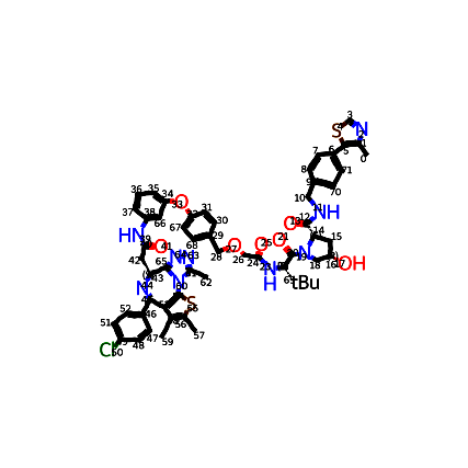 Cc1ncsc1-c1ccc(CNC(=O)[C@@H]2C[C@@H](O)CN2C(=O)[C@@H](NC(=O)COCc2ccc(Oc3cccc(NC(=O)C[C@@H]4N=C(c5ccc(Cl)cc5)c5c(sc(C)c5C)-n5c(C)nnc54)c3)cc2)C(C)(C)C)cc1